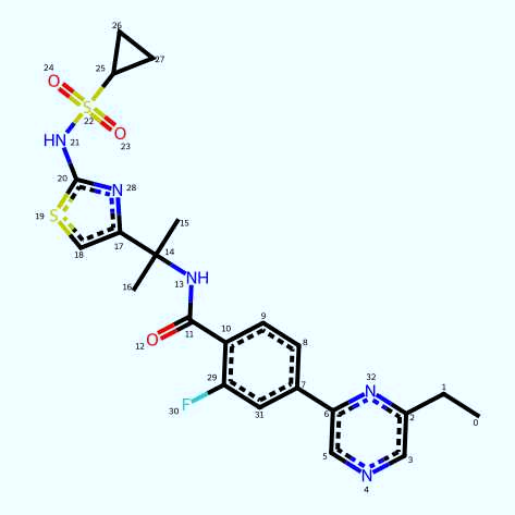 CCc1cncc(-c2ccc(C(=O)NC(C)(C)c3csc(NS(=O)(=O)C4CC4)n3)c(F)c2)n1